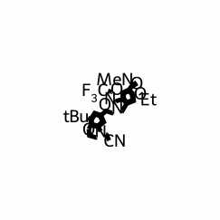 CCOc1cc2c(cc1C(=O)NC)C(=NC(=O)C(F)(F)F)N(CC(=O)c1cc3c(c(C(C)(C)C)c1)OCCN3CC#N)C2